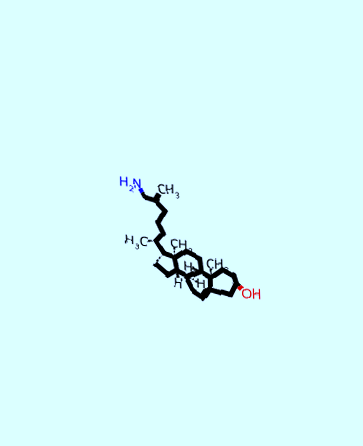 CC(CN)CCC[C@@H](C)[C@H]1CC[C@H]2[C@@H]3CC=C4CC(O)CC[C@]4(C)[C@H]3CC[C@]12C